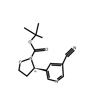 CC(C)(C)OC(=O)N1OCC[C@@H]1c1cncc(C#N)c1